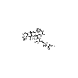 CCCCn1c(=O)c(NC(=O)Nc2c(C(C)C)cccc2C(C)C)c(-c2cccc(C#CCNC(=O)OC(C)(C)C)c2)c2cccnc21